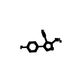 N#Cc1c(-c2ccc(F)cc2)coc1N